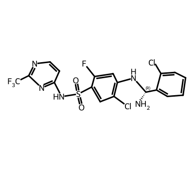 N[C@H](Nc1cc(F)c(S(=O)(=O)Nc2ccnc(C(F)(F)F)n2)cc1Cl)c1ccccc1Cl